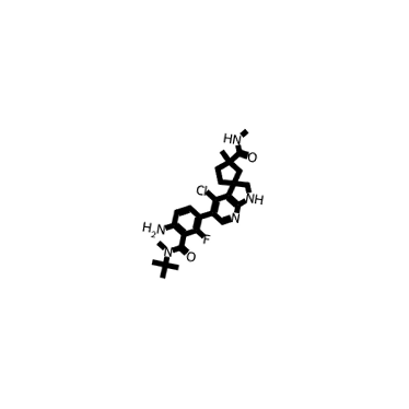 CNC(=O)C1(C)CCC2(CNc3ncc(-c4ccc(N)c(C(=O)N(C)C(C)(C)C)c4F)c(Cl)c32)C1